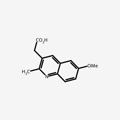 COc1ccc2nc(C)c(CC(=O)O)cc2c1